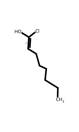 CCCCCC/C=C(/O)Cl